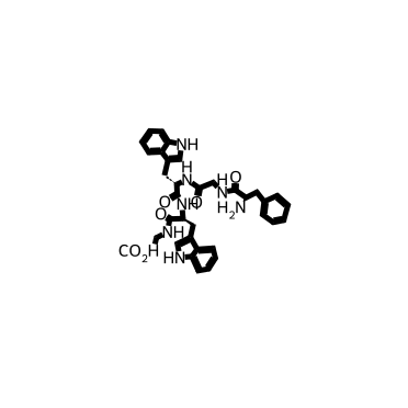 N[C@@H](Cc1ccccc1)C(=O)NCC(=O)N[C@@H](Cc1c[nH]c2ccccc12)C(=O)N[C@@H](Cc1c[nH]c2ccccc12)C(=O)NCC(=O)O